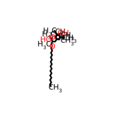 CCCCCCCCCCCCCCCCCCOC(C)C(Cc1cc(C(C)(C)C)c(O)c(C(C)(C)C)c1)C(=O)O